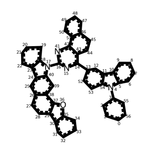 c1ccc(-n2c3ccccc3c3cc(-c4nc(-n5c6ccccc6c6cc7ccc8c9ccccc9oc8c7cc65)nc5c4ccc4ccccc45)ccc32)cc1